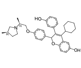 C[C@@H]1CCN([C@@H](C)COc2ccc(C3Oc4ccc(O)cc4C(C4CCCCC4)=C3c3cccc(O)c3)cc2)C1